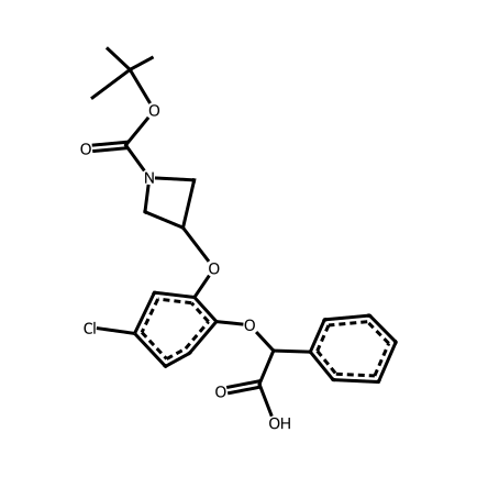 CC(C)(C)OC(=O)N1CC(Oc2cc(Cl)ccc2OC(C(=O)O)c2ccccc2)C1